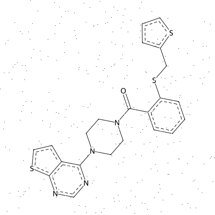 O=C(c1ccccc1SCc1cccs1)N1CCN(c2ncnc3sccc23)CC1